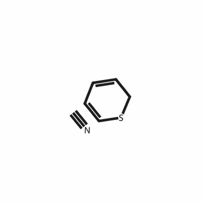 C#N.C1=CCSC=C1